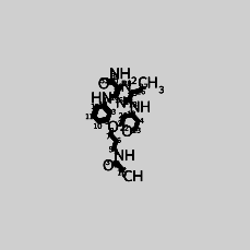 C#CC(=O)NCCCOc1cccc(Nc2nc(NC3CCOCC3)c(CC)nc2C(N)=O)c1